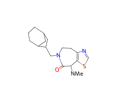 CNC1C(=O)N(CC2CC3CCCC2C3)CCc2ncsc21